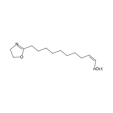 CCCCCCCC/C=C\CCCCCCCCC1=NCCO1